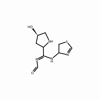 O=C/N=C(\NC1CSC=N1)C1C[C@@H](O)CN1